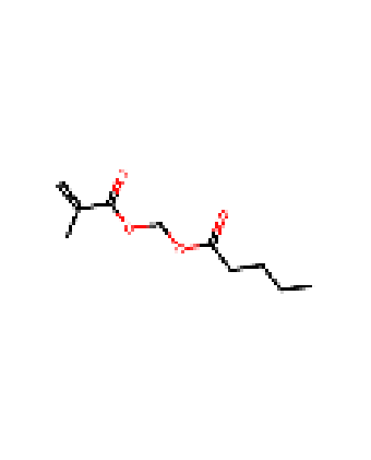 C=C(C)C(=O)OCOC(=O)CCCC